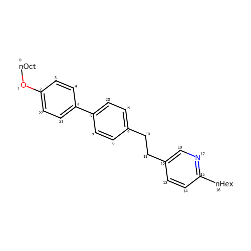 CCCCCCCCOc1ccc(-c2ccc(CCc3ccc(CCCCCC)nc3)cc2)cc1